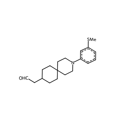 CSc1cccc(N2CCC3(CCC(CC=O)CC3)CC2)c1